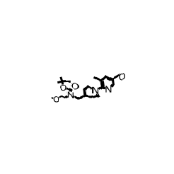 COCCN(CC1CCN(c2ncc(C=O)cc2C)CC1)C(=O)OC(C)(C)C